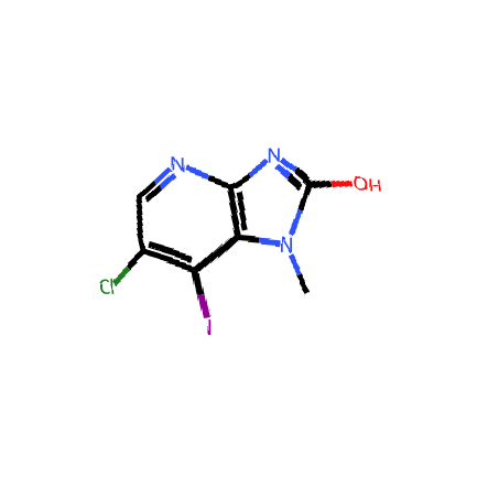 Cn1c(O)nc2ncc(Cl)c(I)c21